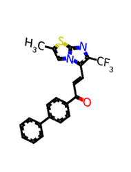 Cc1cn2c(C=CC(=O)c3ccc(-c4ccccc4)cc3)c(C(F)(F)F)nc2s1